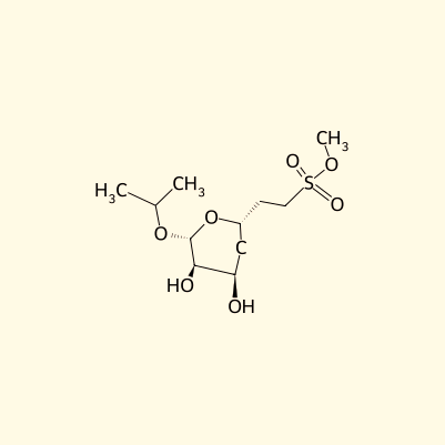 COS(=O)(=O)CC[C@@H]1C[C@@H](O)[C@@H](O)[C@H](OC(C)C)O1